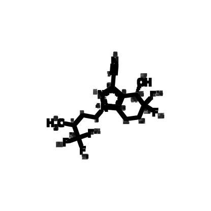 CC(CCn1nc(C#N)c2c1CCC(F)(F)[C@H]2O)C(F)(F)F